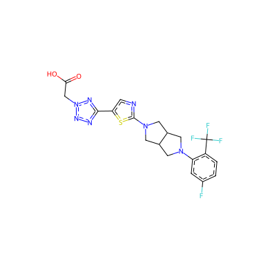 O=C(O)Cn1nnc(-c2cnc(N3CC4CN(c5cc(F)ccc5C(F)(F)F)CC4C3)s2)n1